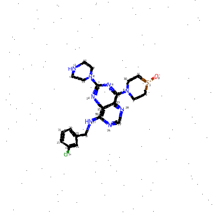 [O-][S+]1CCN(c2nc(N3CCNCC3)nc3c(NCc4cccc(Cl)c4)ncnc23)CC1